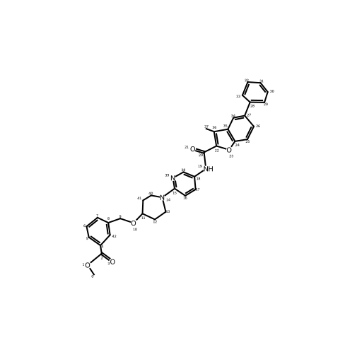 COC(=O)c1cccc(COC2CCN(c3ccc(NC(=O)c4oc5ccc(-c6ccccc6)cc5c4C)cn3)CC2)c1